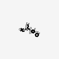 O=C(Nc1ccc(OC2CCCCC2(F)F)c(F)c1)c1nc(N2CCC3(COC3)C2)oc1CC(F)(F)F